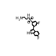 NCCNS(=O)(=O)c1cc(F)cc(-c2c[nH]c3cc(F)ccc23)c1